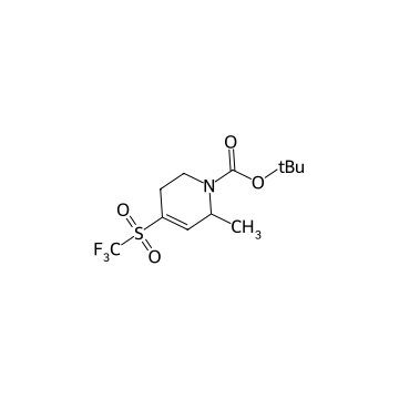 CC1C=C(S(=O)(=O)C(F)(F)F)CCN1C(=O)OC(C)(C)C